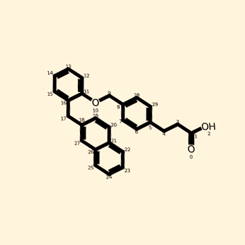 O=C(O)CCc1ccc(COc2ccccc2Cc2ccc3ccccc3c2)cc1